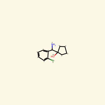 NC(c1ccccc1Br)C1(O)CCCC1